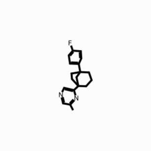 Cc1cncc(C23CCCC(c4ccc(F)cc4)(CC2)C3)n1